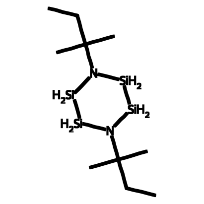 CCC(C)(C)N1[SiH2][SiH2]N(C(C)(C)CC)[SiH2][SiH2]1